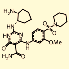 COc1cc(Nc2nc(N[C@H]3CCCC[C@@H]3N)[nH]c(=O)c2C(N)=O)ccc1S(=O)(=O)N1CCCCC1